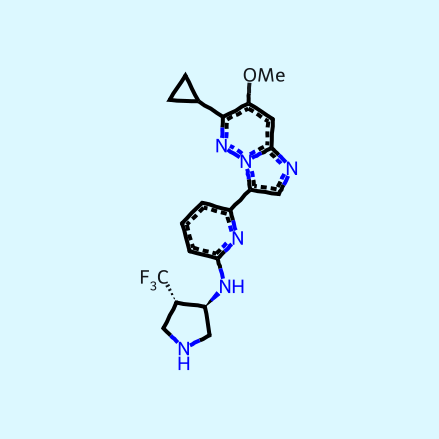 COc1cc2ncc(-c3cccc(N[C@H]4CNC[C@@H]4C(F)(F)F)n3)n2nc1C1CC1